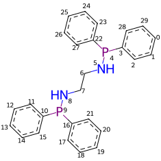 c1ccc(P(NCCNP(c2ccccc2)c2ccccc2)c2ccccc2)cc1